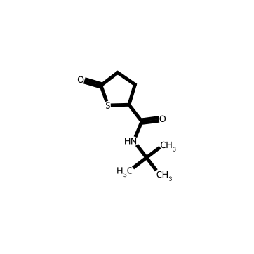 CC(C)(C)NC(=O)C1CCC(=O)S1